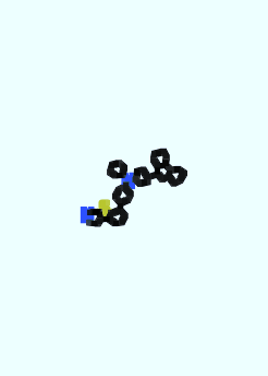 c1ccc(N(c2ccc(-c3cc4ccccc4c4ccccc34)cc2)c2ccc(-c3cccc4c3sc3cnccc34)cc2)cc1